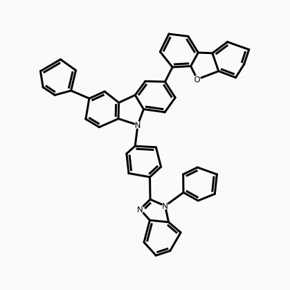 c1ccc(-c2ccc3c(c2)c2cc(-c4cccc5c4oc4ccccc45)ccc2n3-c2ccc(-c3nc4ccccc4n3-c3ccccc3)cc2)cc1